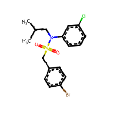 CC(C)CN(c1cccc(Cl)c1)S(=O)(=O)Cc1ccc(Br)cc1